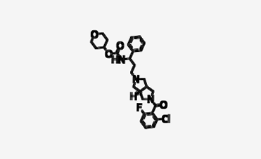 O=C(NC(CCN1CC2CN(C(=O)c3c(F)cccc3Cl)C[C@@H]2C1)c1ccccc1)OC1CCOCC1